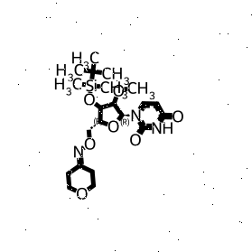 COC1C(O[Si](C)(C)C(C)(C)C)[C@@H](CON=C2CCOCC2)O[C@H]1n1ccc(=O)[nH]c1=O